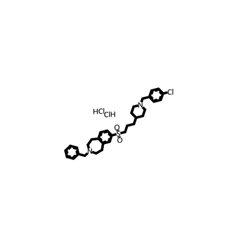 Cl.Cl.O=S(=O)(CCCC1CCN(Cc2ccc(Cl)cc2)CC1)c1ccc2c(c1)CCN(Cc1ccccc1)CC2